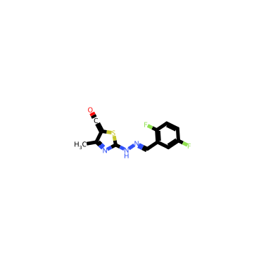 CC1=NC(NN=Cc2cc(F)ccc2F)SC1=C=O